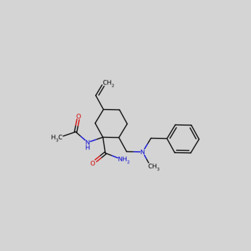 C=CC1CCC(CN(C)Cc2ccccc2)C(NC(C)=O)(C(N)=O)C1